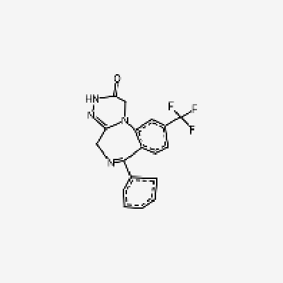 O=C1CN2C(=NN1)CN=C(c1ccccc1)c1ccc(C(F)(F)F)cc12